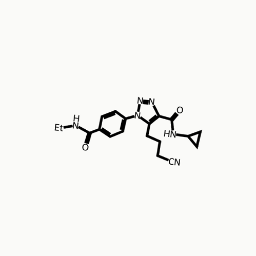 CCNC(=O)c1ccc(-n2nnc(C(=O)NC3CC3)c2CCCC#N)cc1